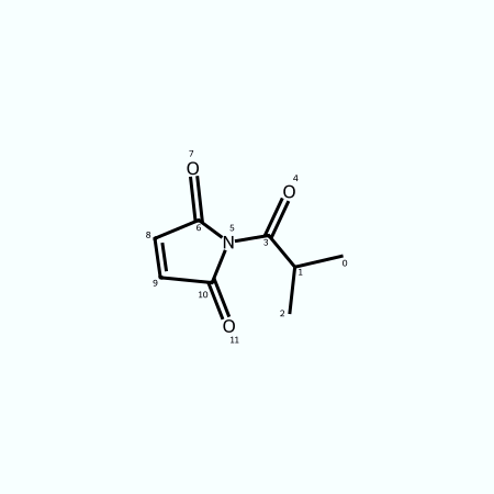 CC(C)C(=O)N1C(=O)C=CC1=O